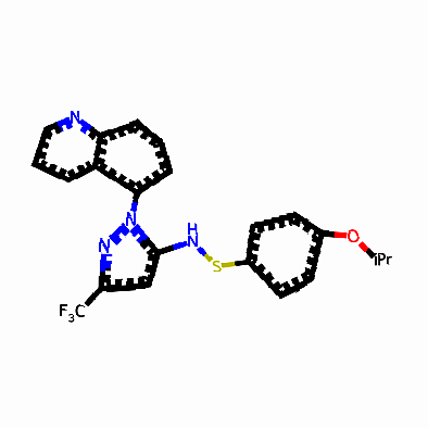 CC(C)Oc1ccc(SNc2cc(C(F)(F)F)nn2-c2cccc3ncccc23)cc1